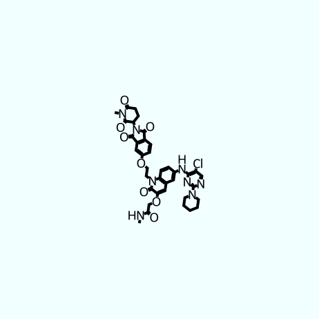 CNC(=O)COc1cc2cc(Nc3nc(N4CCCCC4)ncc3Cl)ccc2n(CCOc2ccc3c(c2)C(=O)N(C2CCC(=O)N(C)C2=O)C3=O)c1=O